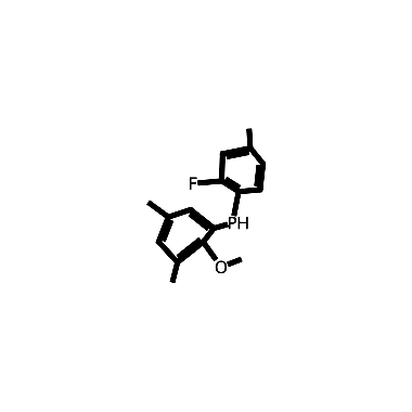 COc1c(C)cc(C)cc1Pc1ccc(C)cc1F